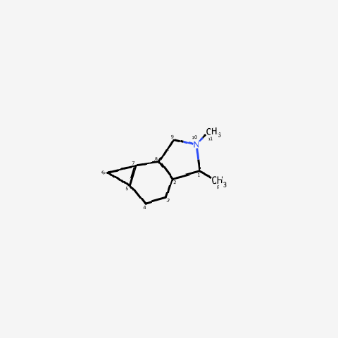 CC1C2CCC3CC3C2CN1C